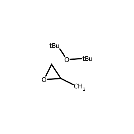 CC(C)(C)OC(C)(C)C.CC1CO1